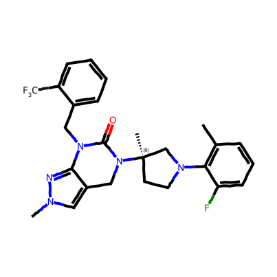 Cc1cccc(F)c1N1CC[C@@](C)(N2Cc3cn(C)nc3N(Cc3ccccc3C(F)(F)F)C2=O)C1